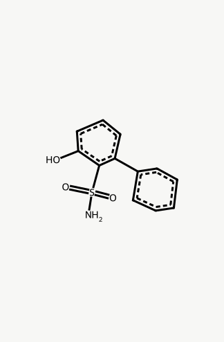 NS(=O)(=O)c1c(O)cccc1-c1ccccc1